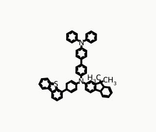 CC1(C)c2cc(N(C3=CCC(c4cccc5c4sc4ccccc45)C=C3)c3ccc(-c4ccc(N(c5ccccc5)c5ccccc5)cc4)cc3)ccc2C2C=CC=CC21